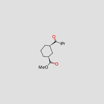 COC(=O)[C@H]1CCC[C@@H](C(=O)C(C)C)C1